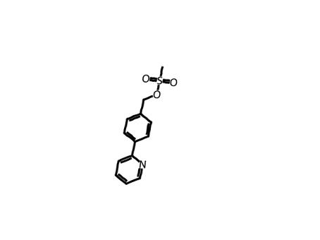 CS(=O)(=O)OCc1ccc(-c2ccccn2)cc1